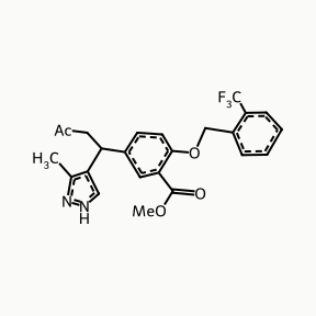 COC(=O)c1cc(C(CC(C)=O)c2c[nH]nc2C)ccc1OCc1ccccc1C(F)(F)F